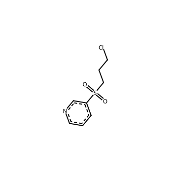 O=S(=O)(CCCCl)c1cccnc1